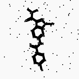 CCCn1nc(C(=O)N(C)C)c2ccc(NC(=O)c3ccc(C)cc3)nc21